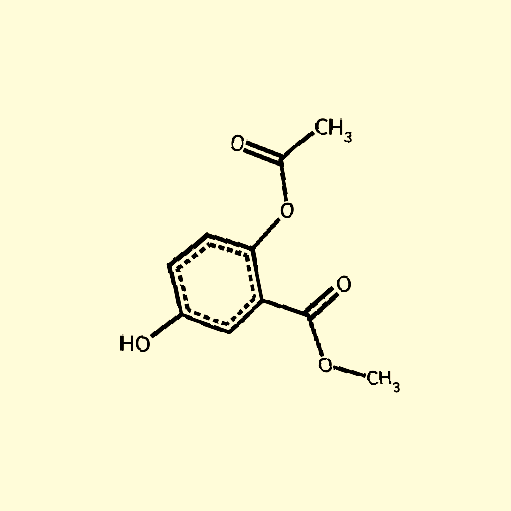 COC(=O)c1cc(O)ccc1OC(C)=O